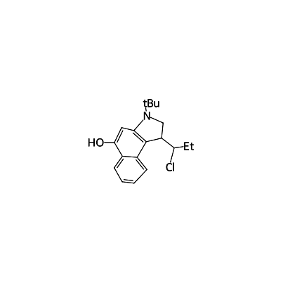 CCC(Cl)C1CN(C(C)(C)C)c2cc(O)c3ccccc3c21